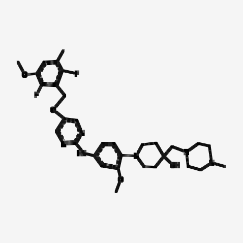 COc1cc(Nc2ncc(OCc3c(F)c(C)cc(OC)c3F)cn2)ccc1N1CCC(O)(CN2CCN(C)CC2)CC1